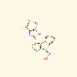 O/N=C1/c2ccccc2-c2c1cccc2-c1nc2c(F)c(F)ccc2[nH]1